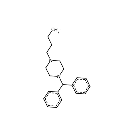 [CH2]CCCN1CCN(C(c2ccccc2)c2ccccc2)CC1